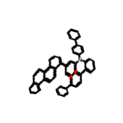 c1ccc(-c2ccc(-c3ccccc3N(c3ccc(-c4ccccc4)cc3)c3cccc(-c4cccc5c4ccc4c6ccccc6ccc54)c3)cc2)cc1